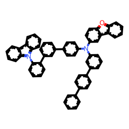 c1ccc(-c2ccc(-c3cccc(N(c4ccc(-c5cccc(-c6ccccc6-n6c7ccccc7c7ccccc76)c5)cc4)c4ccc5oc6ccccc6c5c4)c3)cc2)cc1